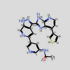 CCC(=O)Nc1cncc(-c2cc3c(-c4nc5c(-c6ccsc6)ccnc5[nH]4)n[nH]c3cn2)c1